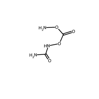 NOC(=O)ONC(N)=O